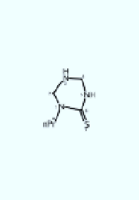 CCCN1CNCNC1=S